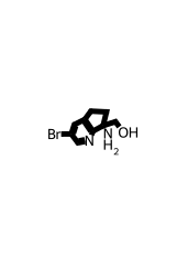 NC1(CO)CCc2cc(Br)cnc21